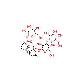 C=C1CC[C@@H]2[C@](COC3OC(CO)C(O)C(OC4OC(CO)C(O)C(O)C4O)C3O)(CCC3[C@](C)(C(=O)OC4OC(CO)C(O)C(O)C4O)CCC[C@]32C)C1